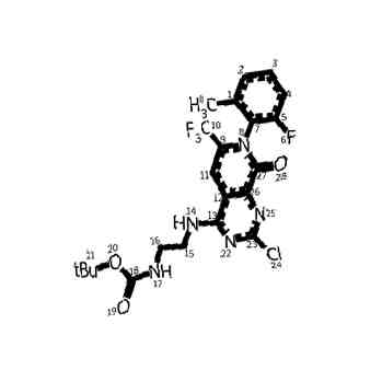 Cc1cccc(F)c1-n1c(C(F)(F)F)cc2c(NCCNC(=O)OC(C)(C)C)nc(Cl)nc2c1=O